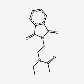 CCN(CCN1C(=O)c2ccccc2C1=O)C(C)=O